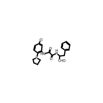 O=CC(Cc1ccccc1)NC(=O)C(=O)Nc1cc(Cl)ccc1N1CCCC1